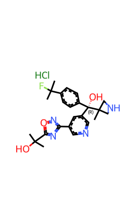 CC(C)(O)c1nc(-c2cncc([C@@](O)(c3ccc(C(C)(C)F)cc3)C3(C)CNC3)c2)no1.Cl